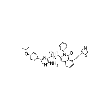 CC(C)Oc1ccc(-c2cnc(N)c(C(=O)N[C@H](C)c3cc4cccc(C#Cc5cncs5)c4c(=O)n3-c3ccccc3)n2)cc1